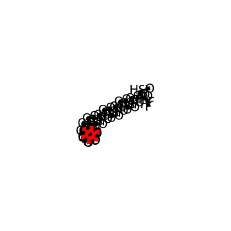 C[Si](CCC(F)(F)F)(O[Si](=O)[Si](=O)[Si](=O)[Si](=O)[Si](=O)[Si](=O)[Si](=O)[Si](=O)[Si](=O)[Si](=O)[Si](=O)[Si](=O)[Si](=O)[Si](=O)[Si](=O)[Si](=O)[Si](=O)[Si](=O)[Si](=O)[Si](=O)[Si](=O)[Si](=O)[Si](=O)[Si](=O)[Si](=O)[Si](=O)[Si](=O)[Si](=O)[Si](=O)[Si](=O)[Si](=O)[Si](=O)[Si](=O)[SiH]=O)[Si](=O)[SiH]=O